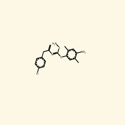 C=C(Cc1ccc(Cl)cc1)/N=C(/Oc1cc(C)c([N+](=O)[O-])cc1C)SN